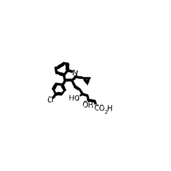 O=C(O)CC(O)CC(O)/C=C/c1c(C2CC2)nc2ccccc2c1-c1ccc(Cl)cc1